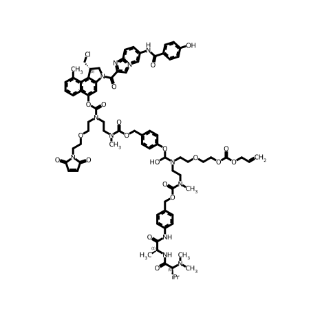 C=CCOC(=O)OCCOCCN(CCN(C)C(=O)OCc1ccc(NC(=O)[C@H](C)NC(=O)[C@H](C(C)C)N(C)C)cc1)C(O)Oc1ccc(COC(=O)N(C)CCN(CCOCCN2C(=O)C=CC2=O)C(=O)Oc2cc3c(c4c(C)cccc24)[C@H](CCl)CN3C(=O)c2cn3cc(NC(=O)c4ccc(O)cc4)ccc3n2)cc1